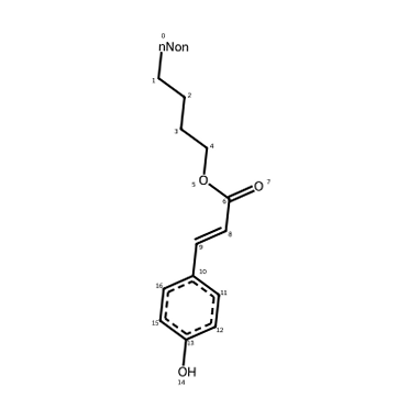 CCCCCCCCCCCCCOC(=O)C=Cc1ccc(O)cc1